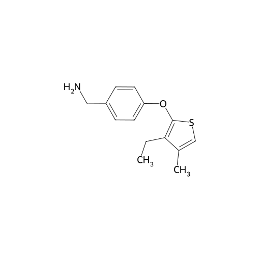 CCc1c(C)csc1Oc1ccc(CN)cc1